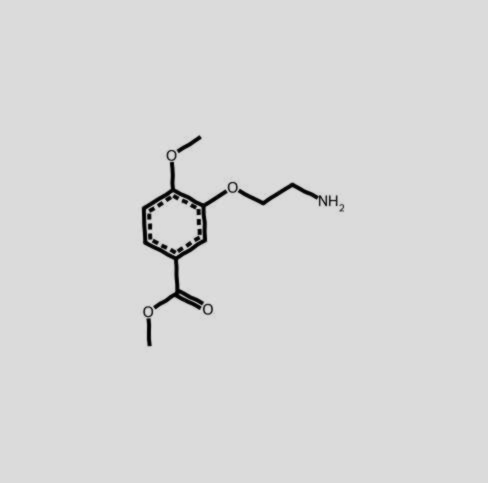 COC(=O)c1ccc(OC)c(OCCN)c1